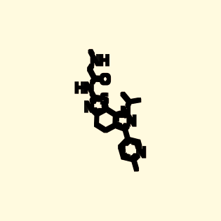 CNCC(=O)Nc1nc2c(s1)-c1c(c(-c3ccc(C)nc3)nn1C(C)C)CC2